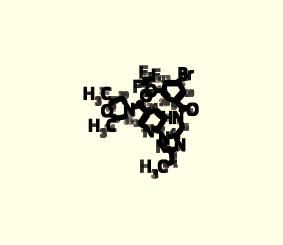 CCc1nc(CNC(=O)c2cc(Br)cc(OC(F)(F)F)c2)n(-c2ccc(C(=O)N3C[C@@H](C)O[C@@H](C)C3)cn2)n1